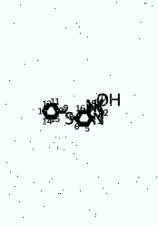 Oc1cnc2ccc(SCc3ccccc3)cc2n1